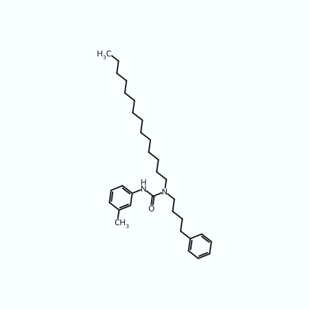 CCCCCCCCCCCCCCN(CCCCc1ccccc1)C(=O)Nc1cccc(C)c1